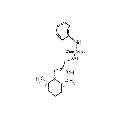 C[C@@H]1CCC[C@H](C)N1C[C@@H](O)CNS(=O)(=O)Nc1ccccc1